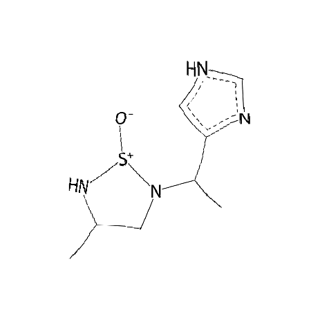 CC1CN(C(C)c2c[nH]cn2)[S+]([O-])N1